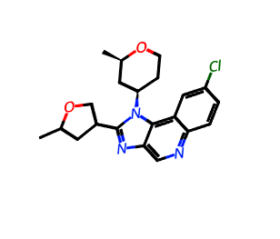 CC1CC(c2nc3cnc4ccc(Cl)cc4c3n2[C@@H]2CCO[C@H](C)C2)CO1